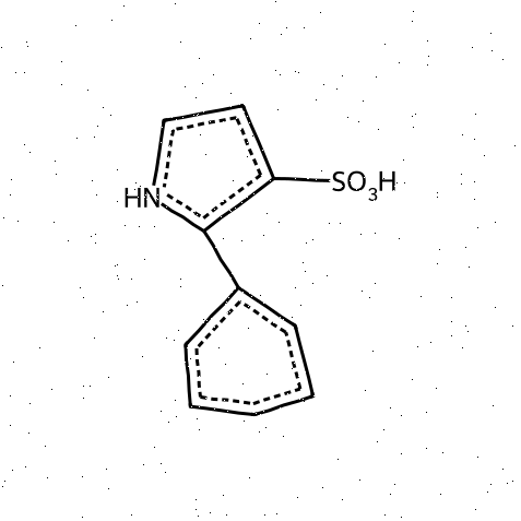 O=S(=O)(O)c1cc[nH]c1-c1ccccc1